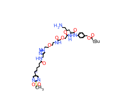 CC(C)(C)C(=O)OCc1ccc(NC(=O)[C@H](CCCCN)NC(=O)COCC(=O)NCCOCCn2cc(CNC(=O)CCC/C=C/c3cnc(S(C)(=O)=O)nc3)nn2)cc1